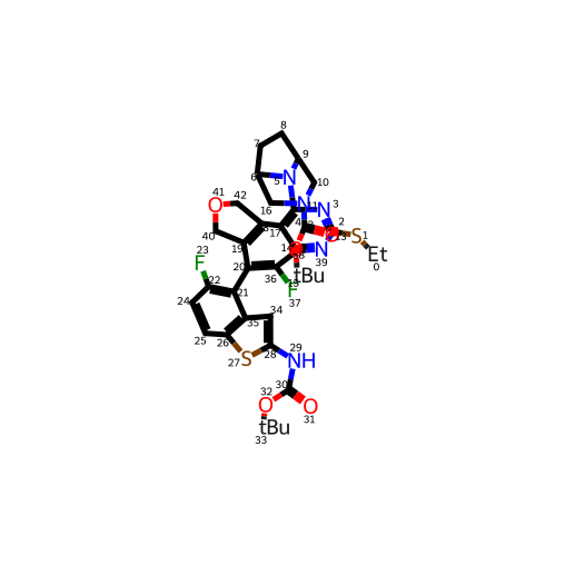 CCSc1nc(N2C3CCC2CN(C(=O)OC(C)(C)C)C3)c2c3c(c(-c4c(F)ccc5sc(NC(=O)OC(C)(C)C)cc45)c(F)c2n1)COC3